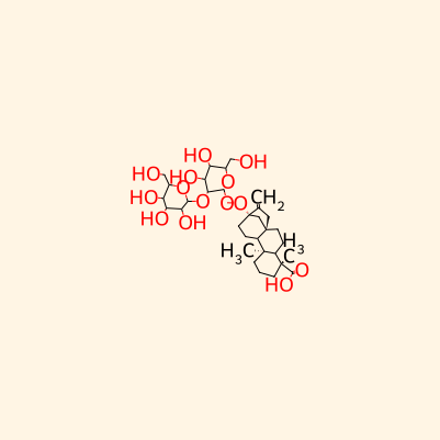 C=C1C[C@@]23CCC4[C@@](C)(CCC[C@@]4(C)C(=O)O)C2CC[C@]1(OOC1OC(CO)C(O)C(O)C1OC1OC(CO)C(O)C(O)C1O)C3